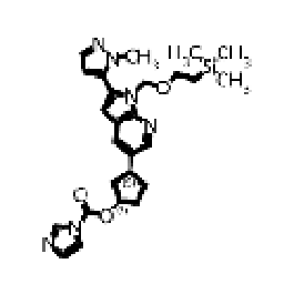 Cn1nccc1-c1cc2cc([C@H]3CC[C@@H](OC(=O)n4ccnc4)C3)cnc2n1COCC[Si](C)(C)C